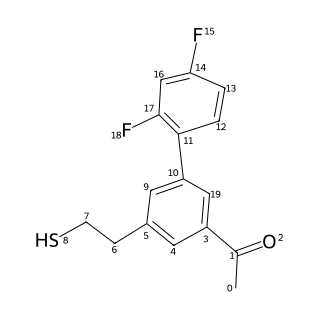 CC(=O)c1cc(CCS)cc(-c2ccc(F)cc2F)c1